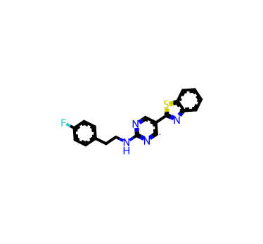 Fc1ccc(CCNc2n[c]c(-c3nc4ccccc4s3)cn2)cc1